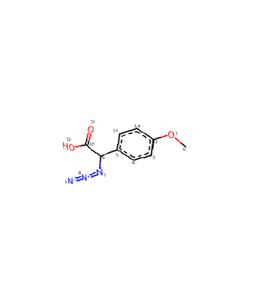 COc1ccc(C(N=[N+]=[N-])C(=O)O)cc1